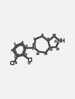 Clc1cccc(N2CCC3CNCC3CC2)c1Cl